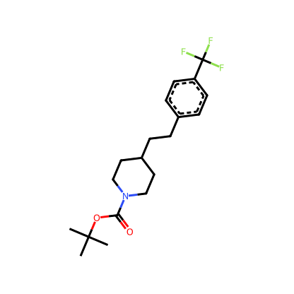 CC(C)(C)OC(=O)N1CCC(CCc2ccc(C(F)(F)F)cc2)CC1